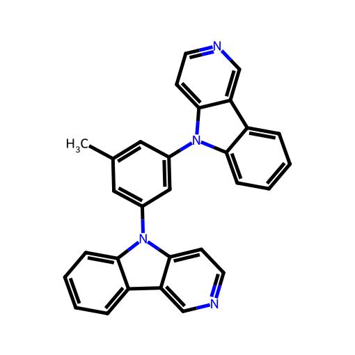 Cc1cc(-n2c3ccccc3c3cnccc32)cc(-n2c3ccccc3c3cnccc32)c1